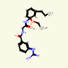 N=C(N)Nc1cccc(C(=O)NCC(=O)NC2(OCC(=O)O)C=CC=C(CCC(=O)O)C2)c1